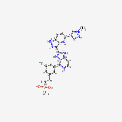 Cn1cc(-c2ccc3[nH]nc(-c4nc5c(-c6cc(F)cc(CNS(C)(=O)=O)c6)nccc5[nH]4)c3n2)cn1